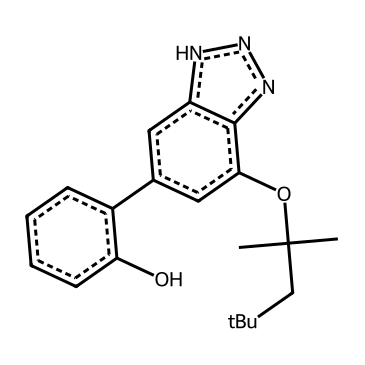 CC(C)(C)CC(C)(C)Oc1cc(-c2ccccc2O)cc2[nH]nnc12